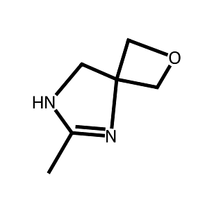 CC1=NC2(CN1)COC2